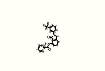 O=C(Nc1cccc2c1C(=O)N(c1cccc(C(F)(F)F)c1)C2)c1ncccn1